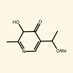 COC(C)C1=CN=C(C)C(O)C1=O